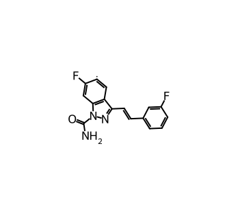 NC(=O)n1nc(C=Cc2cccc(F)c2)c2c[c]c(F)cc21